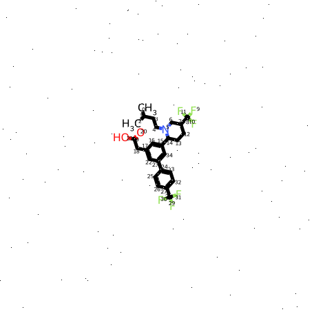 CC(C)CCN1CC(C(F)(F)F)CCC1c1cc(CC(=O)O)cc(-c2ccc(C(F)(F)F)cc2)c1